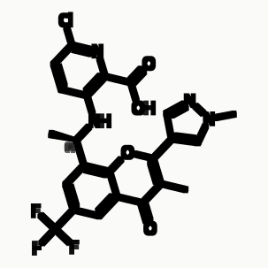 Cc1c(-c2cnn(C)c2)oc2c([C@@H](C)Nc3ccc(Cl)nc3C(=O)O)cc(C(F)(F)F)cc2c1=O